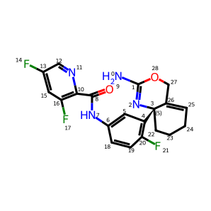 NC1=N[C@@]2(c3cc(NC(=O)c4ncc(F)cc4F)ccc3F)CCCC=C2CO1